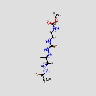 CNC(=S)N/N=C(C)/C(C)=N/NC(=S)NCCNC(=O)OC(C)(C)C